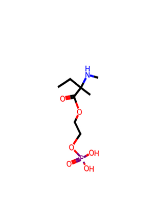 CCC(C)(NC)C(=O)OCCOP(=O)(O)O